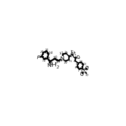 CCN(C(=O)Cc1ccc(S(C)(=O)=O)cc1)C1CCN(CCC(N)c2cccc(F)c2)CC1